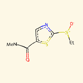 CC[S+]([O-])c1ncc(C(=O)NC)s1